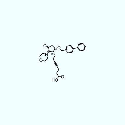 O=C(O)CCC#CCC[C@H]1[C@@H](OCc2ccc(-c3ccccc3)cc2)CC(=O)[C@@H]1N1CCOCC1